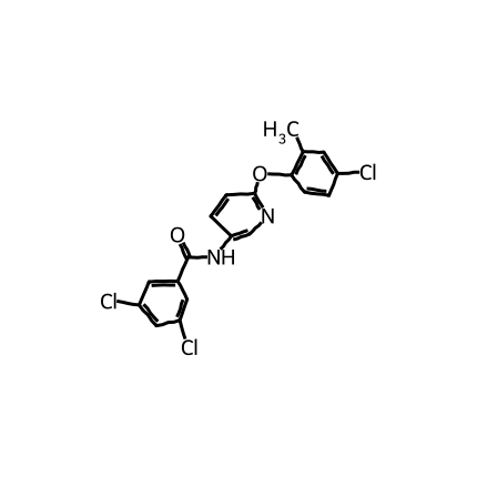 Cc1cc(Cl)ccc1Oc1ccc(NC(=O)c2cc(Cl)cc(Cl)c2)cn1